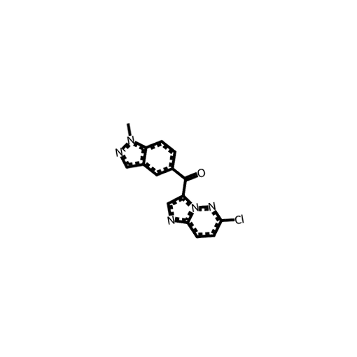 Cn1ncc2cc(C(=O)c3cnc4ccc(Cl)nn34)ccc21